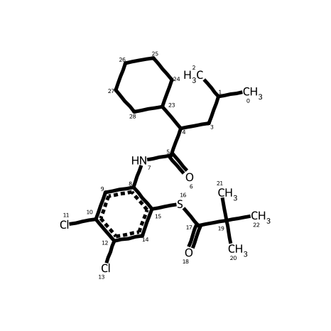 CC(C)CC(C(=O)Nc1cc(Cl)c(Cl)cc1SC(=O)C(C)(C)C)C1CCCCC1